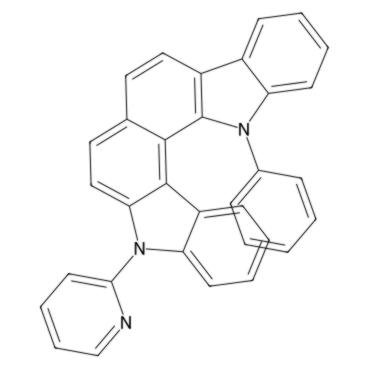 c1ccc(-n2c3ccccc3c3ccc4ccc5c(c6ccccc6n5-c5ccccn5)c4c32)cc1